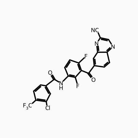 N#Cc1cnc2ccc(C(=O)c3c(F)ccc(NC(=O)c4ccc(C(F)(F)F)c(Cl)c4)c3F)cc2n1